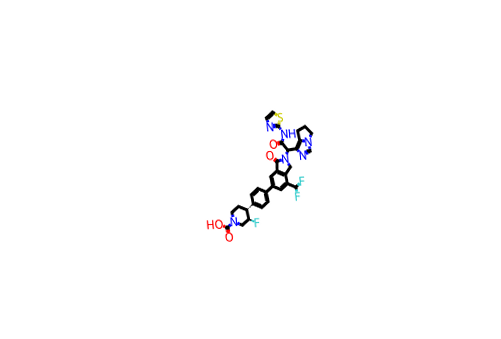 O=C(Nc1nccs1)C(c1ncn2c1CCC2)N1Cc2c(cc(-c3ccc([C@H]4CCN(C(=O)O)C[C@@H]4F)cc3)cc2C(F)F)C1=O